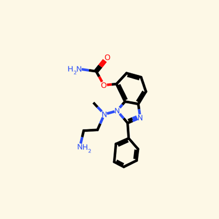 CN(CCN)n1c(-c2ccccc2)nc2cccc(OC(N)=O)c21